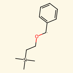 C[Si](C)(C)CCO[CH]c1ccccc1